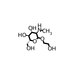 CN[C@H]1C(OCCO)O[C@H](CO)[C@@H](O)[C@@H]1O